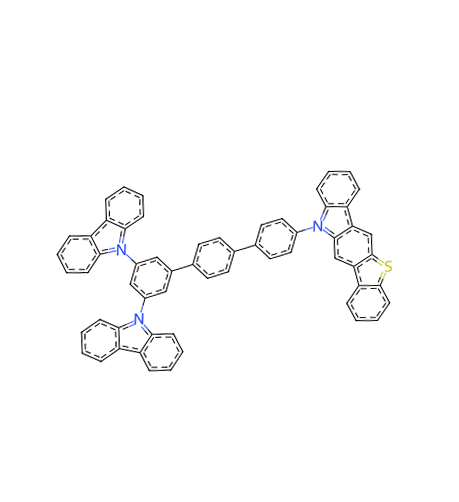 c1ccc2c(c1)sc1cc3c4ccccc4n(-c4ccc(-c5ccc(-c6cc(-n7c8ccccc8c8ccccc87)cc(-n7c8ccccc8c8ccccc87)c6)cc5)cc4)c3cc12